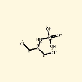 O=P(O)(O)NN(CCl)CCl